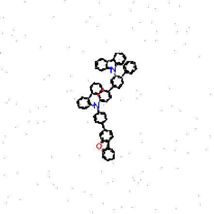 c1ccc(-c2ccccc2N(c2ccc(-c3ccc(-c4ccccc4)c(-n4c5ccccc5c5ccccc54)c3)cc2)c2ccc(-c3ccc4c(c3)oc3ccccc34)cc2)cc1